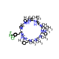 CC(C)C[C@H]1CN[C@@H](C2CCCC2)CN(C)CCN(C)CCN(C)[C@@H](CC2CCCCC2)CN(C)CCN[C@@H](CCc2ccc(C(F)(F)F)c(Cl)c2)CN2CCC[C@H]2CNC2(CCCC2)CN(C)[C@@H](C(C)C)CN[C@H](C)CCN1C